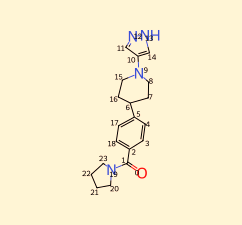 O=C(c1ccc(C2CCN(c3cn[nH]c3)CC2)cc1)N1CCCC1